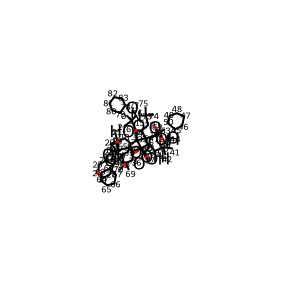 CC1(C)CC(C(CC(=O)O)(C(=O)O)C(C(=O)O)(C2CC(C)(C)N(OC3CCCCC3)C(C)(C)C2)C(C(=O)O)(C2CC(C)(C)N(OC3CCCCC3)C(C)(C)C2)C2CC(C)(C)N(OC3CCCCC3)C(C)(C)C2)CC(C)(C)N1OC1CCCCC1